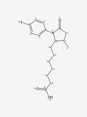 CC1CC(=O)N(c2ccc(F)cc2)C1CCCCCCC(=O)O